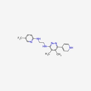 Cc1c(NCCNc2ccc(C(F)(F)F)cn2)nnc(C2=CCNC=C2)c1C